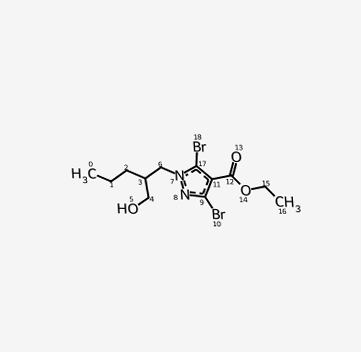 CCCC(CO)Cn1nc(Br)c(C(=O)OCC)c1Br